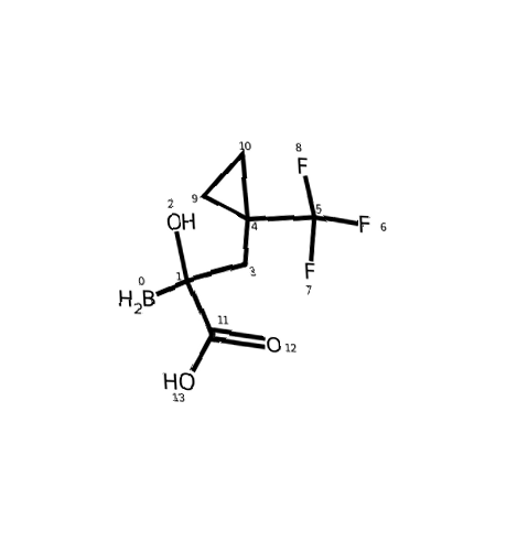 BC(O)(CC1(C(F)(F)F)CC1)C(=O)O